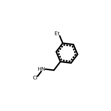 CCc1cccc(CNCl)c1